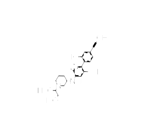 CC#Cc1ccc(-c2nnc(N[C@@H]3CCCN(C(C)CO)C3)cc2C)c(O)c1